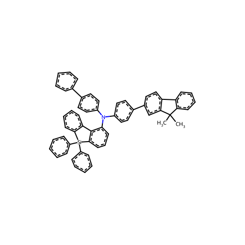 CC1(C)c2ccccc2-c2ccc(-c3ccc(N(c4ccc(-c5ccccc5)cc4)c4cccc5c4-c4ccccc4[Si]5(c4ccccc4)c4ccccc4)cc3)cc21